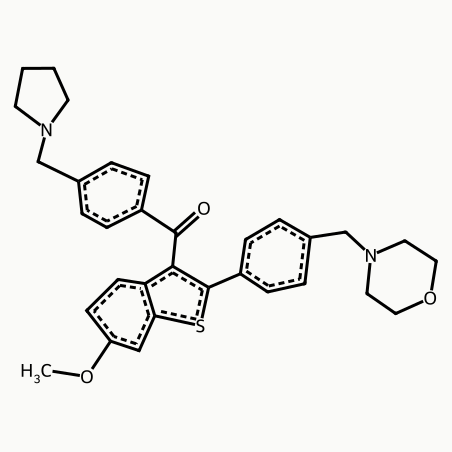 COc1ccc2c(C(=O)c3ccc(CN4CCCC4)cc3)c(-c3ccc(CN4CCOCC4)cc3)sc2c1